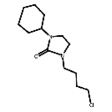 O=C1N(CCCCCl)CCN1C1CCCCC1